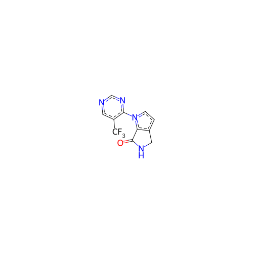 O=C1NCc2ccn(-c3ncncc3C(F)(F)F)c21